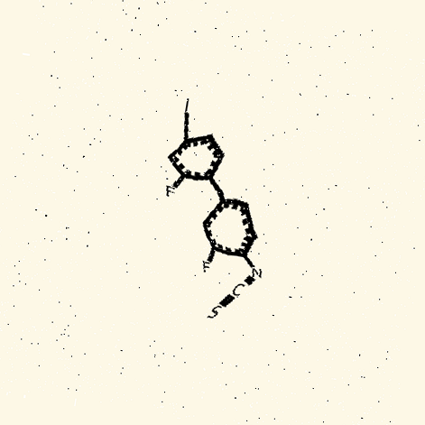 Fc1cc(-c2ccc(I)cc2F)ccc1N=C=S